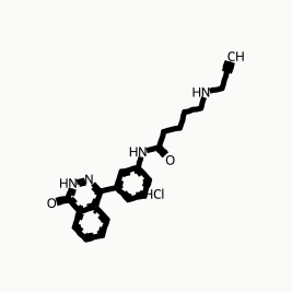 C#CCNCCCCC(=O)Nc1cccc(-c2n[nH]c(=O)c3ccccc23)c1.Cl